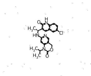 CC(C)N1C(=O)OCc2cnc(N[C@@H](C)c3cc4cc(Cl)ccc4[nH]c3=O)cc21